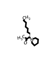 C=CCCCCC[C@@H](C(C)=O)N1CCCCC1